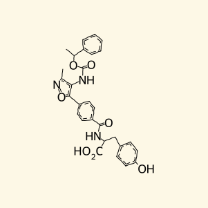 Cc1noc(-c2ccc(C(=O)NC(Cc3ccc(O)cc3)C(=O)O)cc2)c1NC(=O)OC(C)c1ccccc1